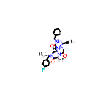 C#CCN1CC(=O)N2[C@@H](CCC)C(=O)N(C(C)c3ccc(F)cc3)C[C@@H]2N1C(=O)NCc1ccccc1